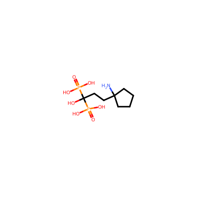 NC1(CCC(O)(P(=O)(O)O)P(=O)(O)O)CCCC1